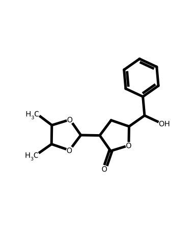 CC1OC(C2CC(C(O)c3ccccc3)OC2=O)OC1C